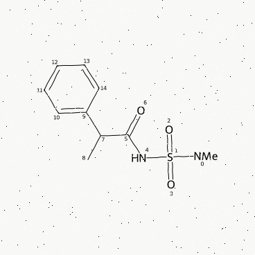 CNS(=O)(=O)NC(=O)C(C)c1ccccc1